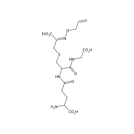 C=CCON=C(CSCC(NC(=O)CCC(N)C(=O)O)C(=O)NCC(=O)O)C(=O)OCC